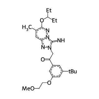 CCC(CC)Oc1nn2c(=N)n(CC(=O)c3cc(OCCOC)cc(C(C)(C)C)c3)nc2cc1C